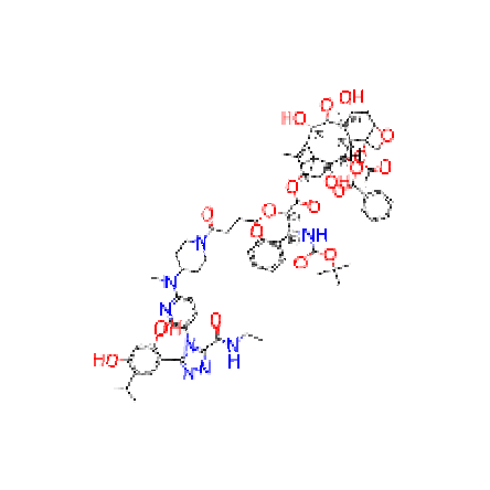 CCNC(=O)c1nnc(-c2cc(C(C)C)c(O)cc2O)n1-c1ccc(N(C)C2CCN(C(=O)CCC(=O)O[C@H](C(=O)O[C@@H]3C[C@]4(O)[C@H](OC(=O)c5ccccc5)[C@H]5C6(OC(C)=O)COC6C[C@@H](O)[C@]5(C)C(=O)[C@@H](O)C(=C3C)C4(C)C)[C@H](NC(=O)OC(C)(C)C)c3ccccc3)CC2)nc1